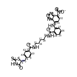 O=C1NC(=S)S/C1=C\c1ccc(C(=O)NCCCCCNC(=O)c2ccccc2Nc2ccc([N+](=O)[O-])c3nonc23)cc1